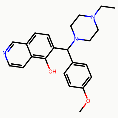 CCN1CCN(C(c2ccc(OC)cc2)c2ccc3cnccc3c2O)CC1